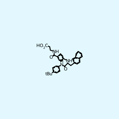 CC(C)(C)c1ccc(NC(=O)C(Cc2ccc3ccccc3c2)Nc2ccc(C(=O)NCCC(=O)O)cc2)cc1